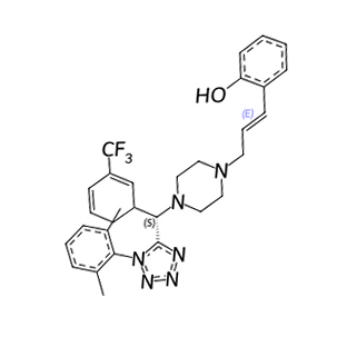 Cc1cccc(C)c1-n1nnnc1[C@H](C1C=C(C(F)(F)F)C=CC1)N1CCN(C/C=C/c2ccccc2O)CC1